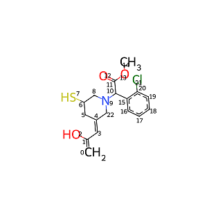 C=C(O)C=C1CC(S)CN(C(C(=O)OC)c2ccccc2Cl)C1